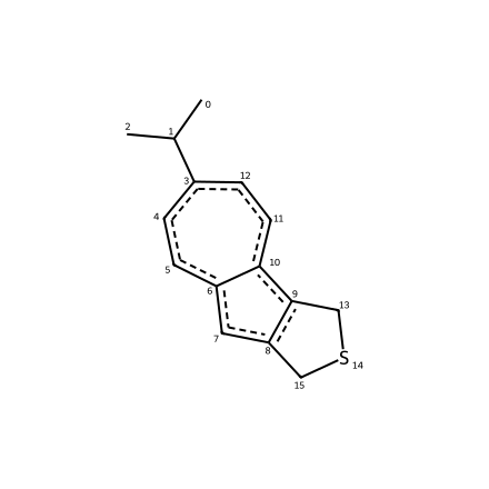 CC(C)c1ccc2cc3c(c-2cc1)CSC3